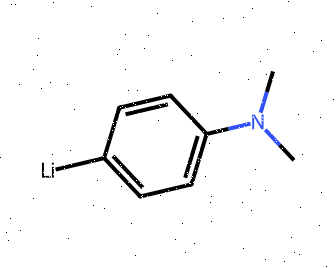 [Li][c]1ccc(N(C)C)cc1